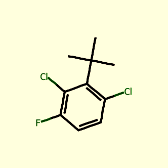 CC(C)(C)c1c(Cl)ccc(F)c1Cl